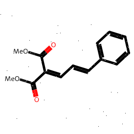 COC(=O)C(=CC=Cc1ccccc1)C(=O)OC